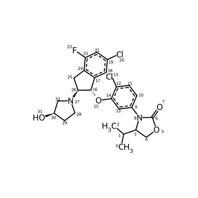 CC(C)C1COC(=O)N1c1ccc(Cl)c(O[C@H]2c3cc(Cl)cc(F)c3C[C@@H]2N2CC[C@@H](O)C2)c1